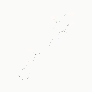 Cc1c(NCCNCC(O)COc2ccccc2)n(C)c(=O)n(CO)c1=O